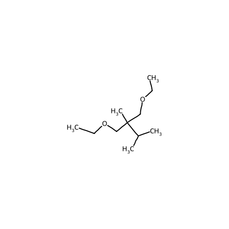 CCOCC(C)(COCC)C(C)C